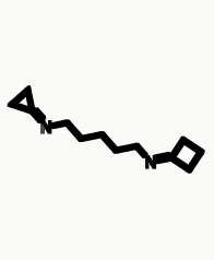 C(CCN=C1CCC1)CCN=C1CC1